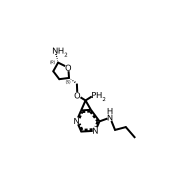 CCCNc1ncnc2c1C2(P)OC[C@@H]1CC[C@H](N)O1